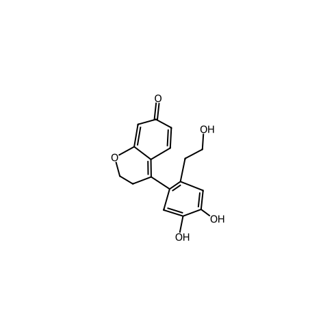 O=C1C=CC2=C(c3cc(O)c(O)cc3CCO)CCOC2=C1